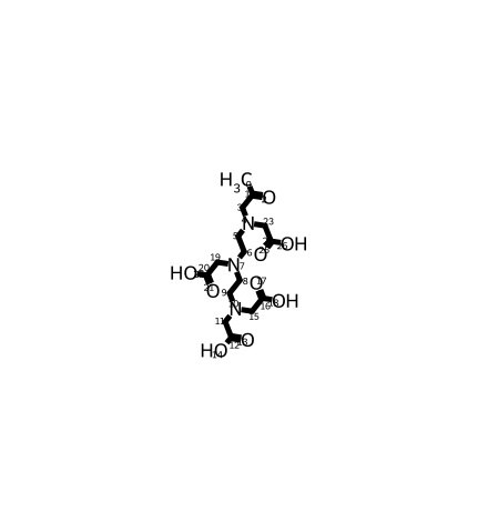 CC(=O)CN(CCN(CCN(CC(=O)O)CC(=O)O)CC(=O)O)CC(=O)O